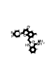 Cc1cc(CCNc2ccccc2C(=O)NN)c2oc(N3CCC(F)(F)CC3)cc(=O)c2c1